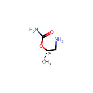 C[C@@H](CN)OC(N)=O